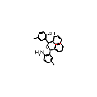 Cc1ccc(N)c(C(OC(c2ccccc2)c2cc(C)ccc2N)c2ccccc2)c1